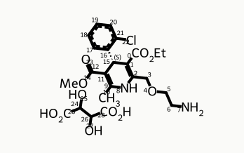 CCOC(=O)C1=C(COCCN)NC(C)=C(C(=O)OC)[C@@H]1c1ccccc1Cl.O=C(O)C(O)C(O)C(=O)O